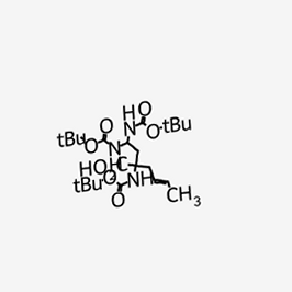 CC=CCC(CC(NC(=O)OC(C)(C)C)NC(=O)OC(C)(C)C)(NC(=O)OC(C)(C)C)C(=O)O